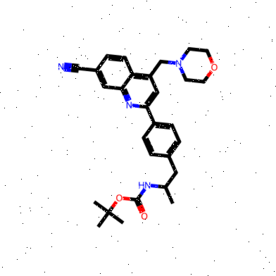 CC(Cc1ccc(-c2cc(CN3CCOCC3)c3ccc(C#N)cc3n2)cc1)NC(=O)OC(C)(C)C